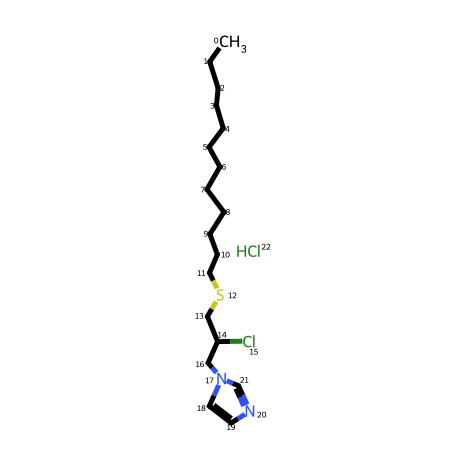 CCCCCCCCCCCCSCC(Cl)Cn1ccnc1.Cl